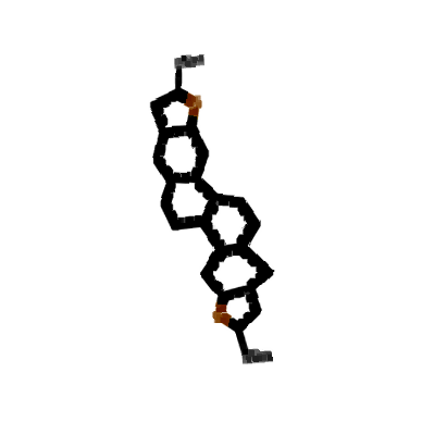 CCCCCCCCCc1cc2cc3ccc4c5cc6sc(CCCCCCCCC)cc6cc5ccc4c3cc2s1